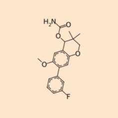 COc1cc2c(cc1-c1cccc(F)c1)OCC(C)(C)C2OC(N)=O